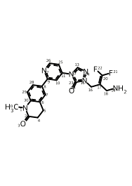 CN1C(=O)CCc2cc(-c3cc(-n4cnn(CC(CN)=C(F)F)c4=O)ccn3)ccc21